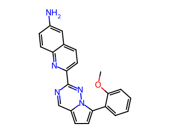 COc1ccccc1-c1ccc2cnc(-c3ccc4cc(N)ccc4n3)nn12